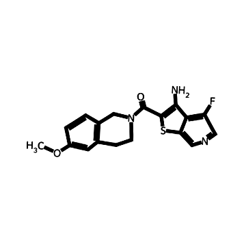 COc1ccc2c(c1)CCN(C(=O)c1sc3cncc(F)c3c1N)C2